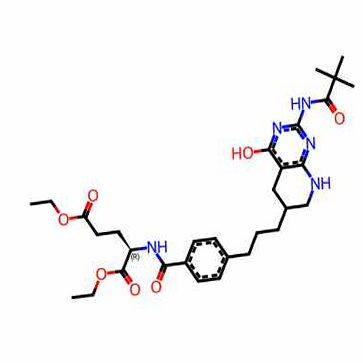 CCOC(=O)CC[C@@H](NC(=O)c1ccc(CCCC2CNc3nc(NC(=O)C(C)(C)C)nc(O)c3C2)cc1)C(=O)OCC